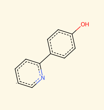 Oc1ccc(-c2cc[c]cn2)cc1